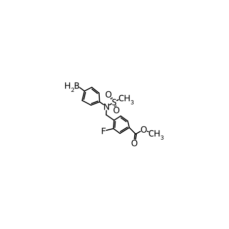 Bc1ccc(N(Cc2ccc(C(=O)OC)cc2F)S(C)(=O)=O)cc1